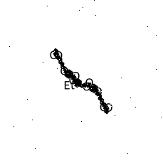 C=CC(=O)OCCCCCCOc1ccc(C(=O)OCCc2ccc(OC(=O)c3ccc(OCCCCCCOC(=O)C=C)cc3)c(CC)c2)cc1